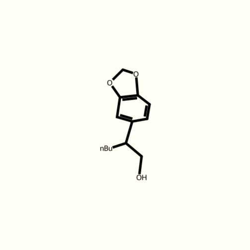 CCCCC(CO)c1ccc2c(c1)OCO2